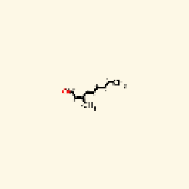 CCCC/C=C/C(C)=C\C=O